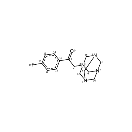 O=C(C[N+]12CN3CN(CN(C3)C1)C2)c1ccc(F)cc1